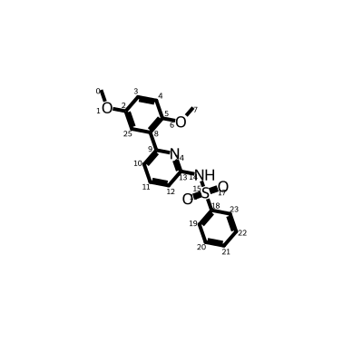 COc1ccc(OC)c(-c2cccc(NS(=O)(=O)c3ccccc3)n2)c1